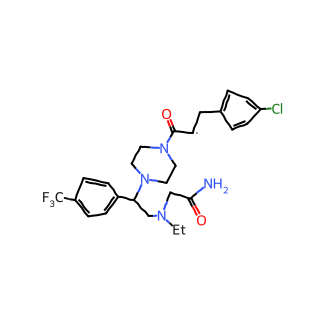 CCN(CC(N)=O)CC(c1ccc(C(F)(F)F)cc1)N1CCN(C(=O)[CH]Cc2ccc(Cl)cc2)CC1